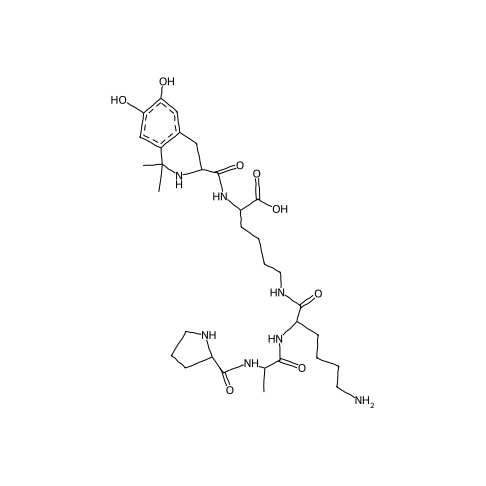 CC(NC(=O)C1CCCN1)C(=O)NC(CCCCN)C(=O)NCCCCC(NC(=O)C1Cc2cc(O)c(O)cc2C(C)(C)N1)C(=O)O